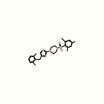 Cc1cc(C)c(S(=O)(=O)N2CCN(c3nc(Cc4c(C)cccc4C)cs3)CC2)c(C)c1